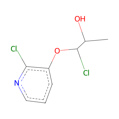 CC(O)C(Cl)Oc1cccnc1Cl